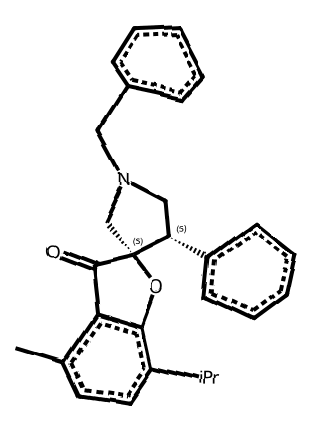 Cc1ccc(C(C)C)c2c1C(=O)[C@]1(CN(Cc3ccccc3)C[C@@H]1c1ccccc1)O2